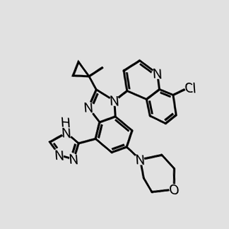 CC1(c2nc3c(-c4nnc[nH]4)cc(N4CCOCC4)cc3n2-c2ccnc3c(Cl)cccc23)CC1